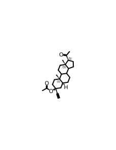 C#C[C@@]1(OC(C)=O)CC[C@]2(C)C3CC[C@@]4(C)C(CC[C@@H]4C(C)=O)C3CC[C@H]2C1